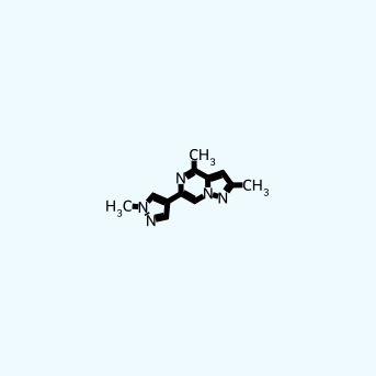 Cc1cc2c(C)nc(-c3cnn(C)c3)cn2n1